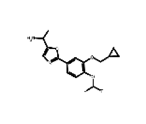 CC(N)c1cnc(-c2ccc(OC(F)F)c(OCC3CC3)c2)o1